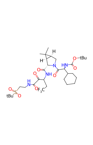 CC(C)(C)OC(=O)N[C@H](C(=O)N1C[C@H]2[C@@H]([C@H]1C(=O)NC(CC(F)(F)F)C(=O)C(=O)NCCS(=O)(=O)C(C)(C)C)C2(C)C)C1CCCCC1